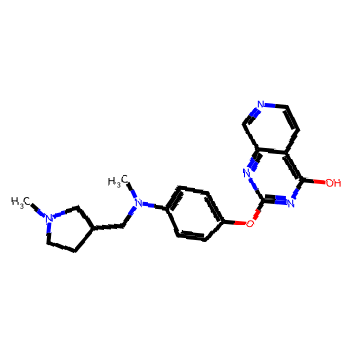 CN1CCC(CN(C)c2ccc(Oc3nc(O)c4ccncc4n3)cc2)C1